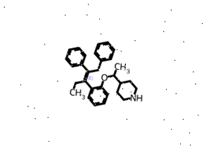 CC/C(=C(/Cc1ccccc1)c1ccccc1)c1ccccc1OC(C)C1CCNCC1